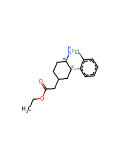 CCOC(=O)CC1CC[C@@H](N)[C@H](c2ccccc2Cl)C1